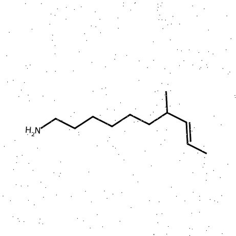 CC=CC(C)CCCCCCN